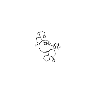 C[C@@H]1CC[C@@]2(C)[C@H](CC/C=C3/C4(CC=CC4)C(=O)CC[C@@]31C)CCC21OCCO1